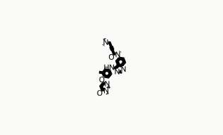 Cc1cc(Nc2ncnc3ccc(N(C)C(=O)C#CCN(C)C)cc23)ccc1Oc1cc(=O)n(C)cn1